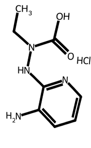 CCN(Nc1ncccc1N)C(=O)O.Cl